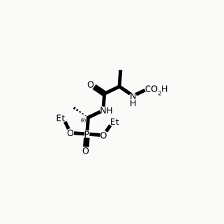 CCOP(=O)(OCC)[C@H](C)NC(=O)C(C)NC(=O)O